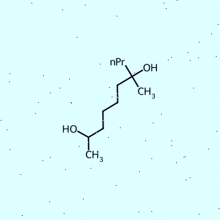 CCCC(C)(O)CCCCC(C)O